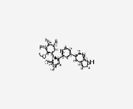 COc1c(-n2c(-c3cc(-c4cnc5[nH]ccc5c4)ccn3)cn(C)c2=O)cc(F)c(F)c1F